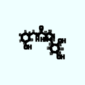 O=C(NCc1cccc(O)c1)c1cnc(-c2ccc(O)cc2O)[nH]1